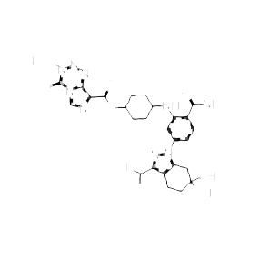 Cn1nnc2c(C(=O)OC3CCC(Nc4cc(-n5nc(C(F)F)c6c5CC(C)(C)CC6)ccc4C(N)=O)CC3)ncn2c1=O